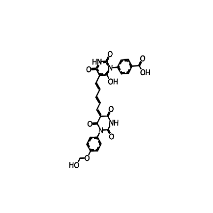 O=C1NC(=O)N(c2ccc(OCO)cc2)C(=O)C1=CC=CC=Cc1c(O)n(-c2ccc(C(=O)O)cc2)c(=O)[nH]c1=O